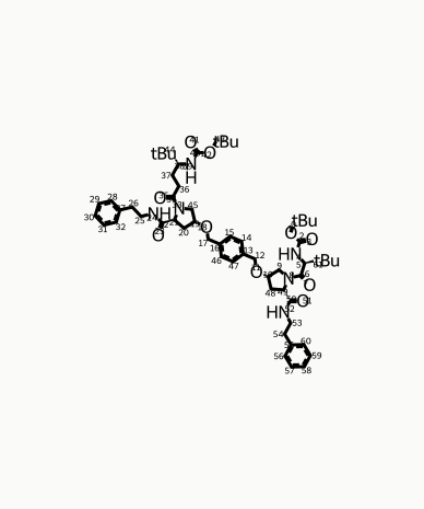 CC(C)(C)OC(=O)N[C@H](C(=O)N1C[C@@H](OCc2ccc(CO[C@H]3C[C@@H](C(=O)NCCc4ccccc4)N(C(=O)CC[C@@H](NC(=O)OC(C)(C)C)C(C)(C)C)C3)cc2)C[C@H]1C(=O)NCCc1ccccc1)C(C)(C)C